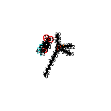 CCCCCCCCCCCCCC[P+](CCCCCC)(CCCCCC)CCCCCC.O=C([O-])c1ccc(OC(F)(F)F)cc1